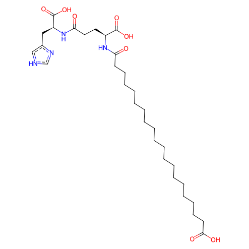 O=C(O)CCCCCCCCCCCCCCCCCCC(=O)N[C@@H](CCC(=O)N[C@@H](Cc1c[nH]cn1)C(=O)O)C(=O)O